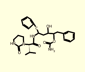 CC(C)[C@@H](C(=O)NC(Cc1ccccc1)CC(O)C(Cc1ccccc1)OC(N)=O)N1CCCNC1=O